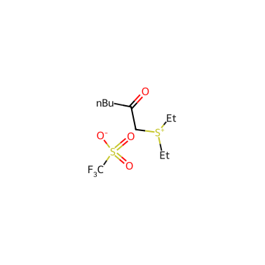 CCCCC(=O)C[S+](CC)CC.O=S(=O)([O-])C(F)(F)F